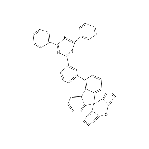 c1ccc(-c2nc(-c3ccccc3)nc(-c3cccc(-c4cccc5c4-c4ccccc4C54c5ccccc5Oc5ccccc54)c3)n2)cc1